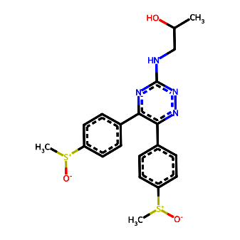 CC(O)CNc1nnc(-c2ccc([S+](C)[O-])cc2)c(-c2ccc([S+](C)[O-])cc2)n1